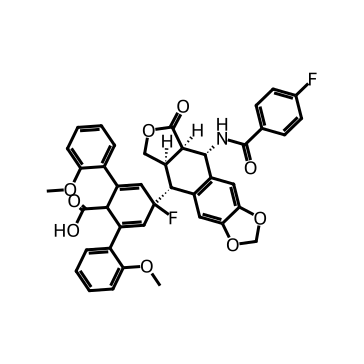 COc1ccccc1C1=CC(F)([C@H]2c3cc4c(cc3[C@@H](NC(=O)c3ccc(F)cc3)[C@@H]3C(=O)OC[C@@H]32)OCO4)C=C(c2ccccc2OC)C1C(=O)O